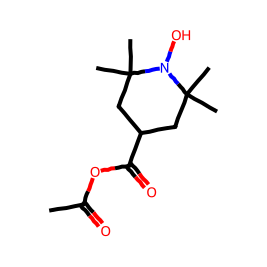 CC(=O)OC(=O)C1CC(C)(C)N(O)C(C)(C)C1